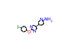 Nc1ccc(-c2cnc(Oc3ccc(F)cc3)nc2)cn1